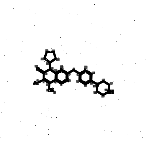 CC(=O)C1=C(C)c2cnc(Cc3ccc(N4CCNCC4)cn3)nc2C(C2CCCC2)C1=O